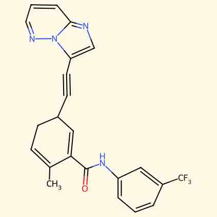 CC1=CCC(C#Cc2cnc3cccnn23)C=C1C(=O)Nc1cccc(C(F)(F)F)c1